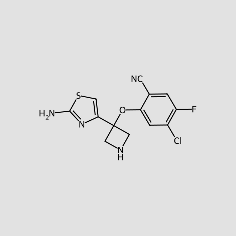 N#Cc1cc(F)c(Cl)cc1OC1(c2csc(N)n2)CNC1